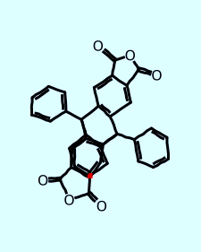 O=C1OC(=O)c2cc3c(cc21)C1(c2ccccc2)c2ccccc2C3(c2ccccc2)c2cc3c(cc21)C(=O)OC3=O